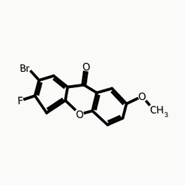 COc1ccc2oc3cc(F)c(Br)cc3c(=O)c2c1